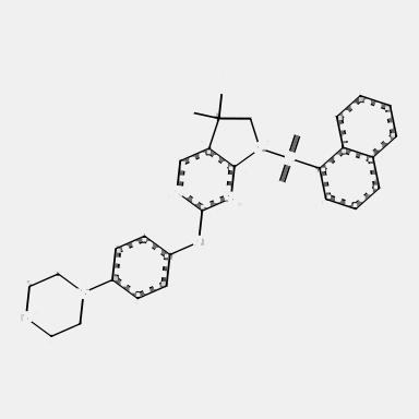 CC1(C)CN(S(=O)(=O)c2cccc3ccccc23)c2nc(Nc3ccc(N4CCNCC4)cc3)ncc21